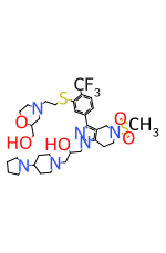 CS(=O)(=O)N1CCc2c(c(-c3ccc(C(F)(F)F)c(SCCN4CCOC(CO)C4)c3)nn2CC(O)CN2CCC(N3CCCC3)CC2)C1